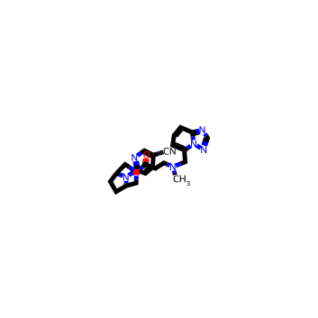 CN(CCC(=O)N1CC2CCC(C1)N2c1ccc(C#N)cn1)Cc1cccc2ncnn12